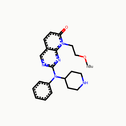 CCCCOCCn1c(=O)ccc2cnc(N(c3ccccc3)C3CCNCC3)nc21